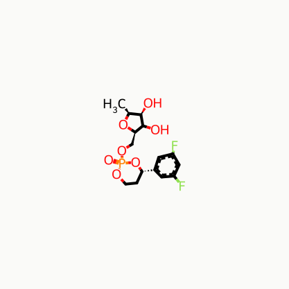 C[C@@H]1O[C@H](COP2(=O)OCC[C@@H](c3cc(F)cc(F)c3)O2)C(O)[C@@H]1O